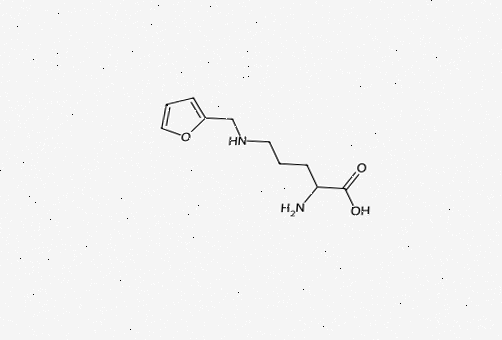 NC(CCCNCc1ccco1)C(=O)O